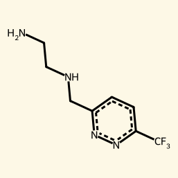 NCCNCc1ccc(C(F)(F)F)nn1